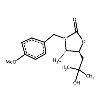 COc1ccc(CN2C(=O)O[C@@H](CC(C)(C)O)[C@@H]2C)cc1